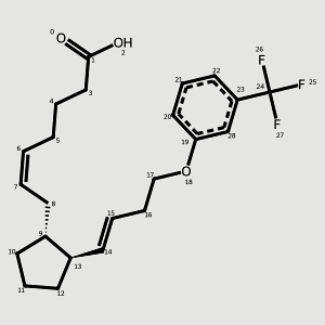 O=C(O)CCC/C=C\C[C@H]1CCC[C@@H]1/C=C/CCOc1cccc(C(F)(F)F)c1